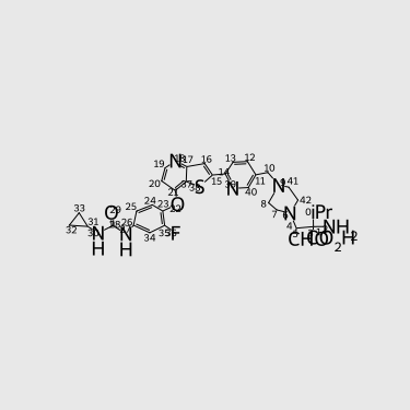 CC(C)C(N)(C(=O)O)C(C=O)N1CCN(Cc2ccc(-c3cc4nccc(Oc5ccc(NC(=O)NC6CC6)cc5F)c4s3)nc2)CC1